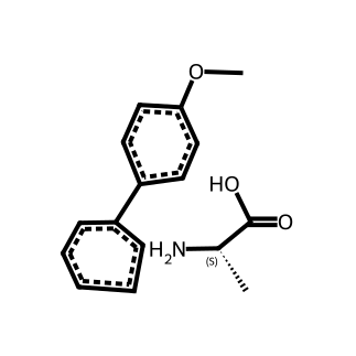 COc1ccc(-c2ccccc2)cc1.C[C@H](N)C(=O)O